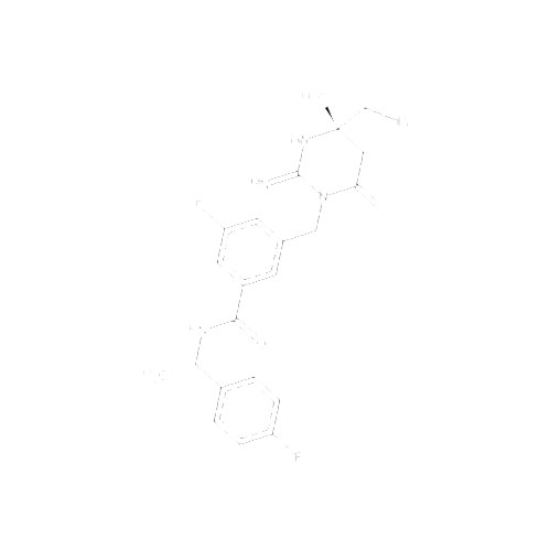 CC(C)C[C@]1(C)CC(=O)N(Cc2cc(F)cc(C(=O)N[C@@H](C)c3ccc(F)cc3)c2)C(=N)N1